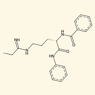 CCC(=N)NCCC[C@H](NC(=O)c1ccccc1)C(=O)Nc1ccccc1